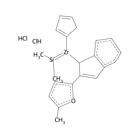 Cc1ccc(C2=Cc3ccccc3[CH]2[Zr]([C]2=CC=CC2)=[Si](C)C)o1.Cl.Cl